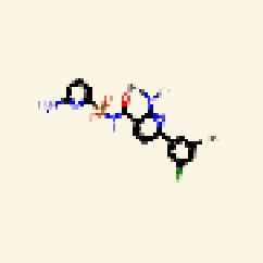 CCN(c1nc(-c2cc(F)cc(OCC(C)C)c2)ccc1C(=O)NS(=O)(=O)c1cccc(N)n1)C(C)C